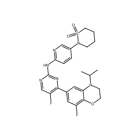 CC(C)N1CCOc2c(F)cc(-c3nc(Nc4ccc(N5CCCCS5(=O)=O)cn4)ncc3F)cc21